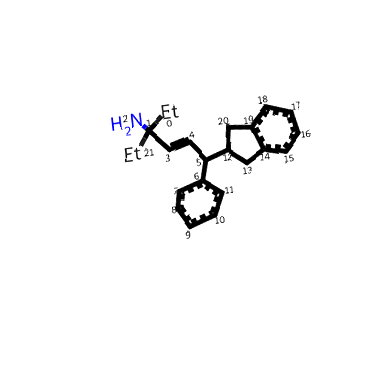 CCC(N)(C=CC(c1ccccc1)C1Cc2ccccc2C1)CC